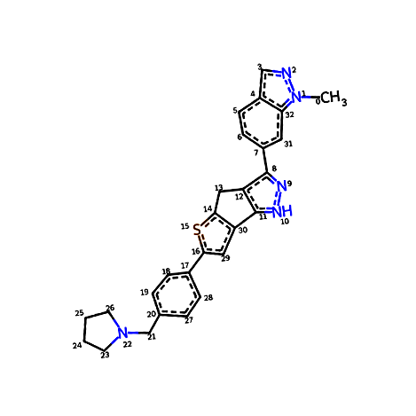 Cn1ncc2ccc(-c3n[nH]c4c3Cc3sc(-c5ccc(CN6CCCC6)cc5)cc3-4)cc21